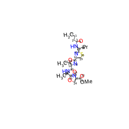 C=CCC(=O)N[C@H](c1nc(-c2nc(C(=O)N[C@@H](C)c3nc(C(=O)OC)co3)c(C)o2)cs1)C(C)C